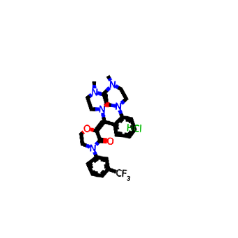 CN1CCN(C(=C2OCCN(c3cccc(C(F)(F)F)c3)C2=O)c2ccccc2N2CCN(C)CC2)CC1.Cl